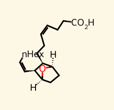 CCCCCC/C=C\[C@H]1[C@@H](CC/C=C\CCC(=O)O)[C@H]2CC[C@@H]1O2